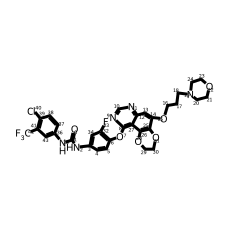 O=C(Nc1ccc(Oc2ncnc3cc(OCCCN4CCOCC4)c4c(c23)OCCO4)c(F)c1)Nc1ccc(Cl)c(C(F)(F)F)c1